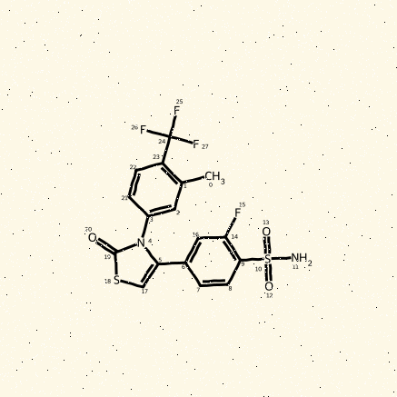 Cc1cc(-n2c(-c3ccc(S(N)(=O)=O)c(F)c3)csc2=O)ccc1C(F)(F)F